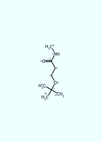 CNC(=O)CCOC(C)(C)C